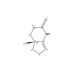 O=C1NC2=CCC[C@@H]2CO1